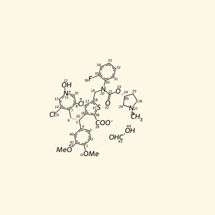 COc1ccc([C@H](Cc2c(Cl)c[n+](O)cc2Cl)c2cc(CN(C(=O)O[C@@H]3CCN(C)C3)c3ccccc3F)sc2C(=O)[O-])cc1OC.O=CO